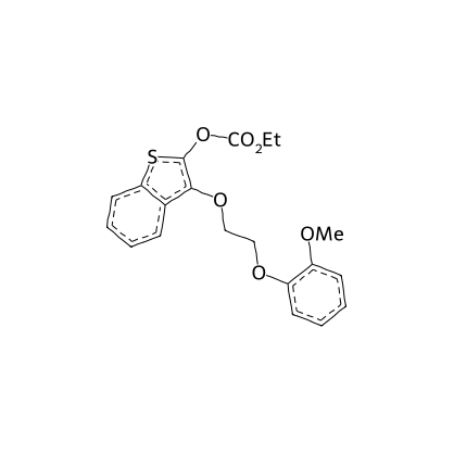 CCOC(=O)Oc1sc2ccccc2c1OCCOc1ccccc1OC